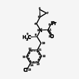 CC(C)C(=O)N(CC1CC1)C(C)Cc1ccc(Cl)cc1